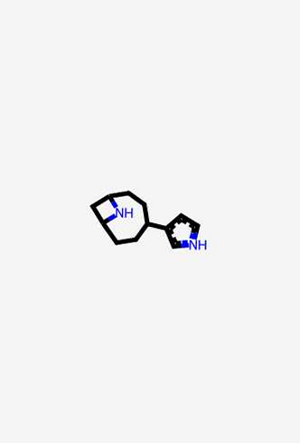 c1cc(C2CCC3CC(CC2)N3)c[nH]1